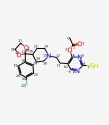 CC(=O)Oc1nc(S)ncc1CCN1CCC(C2(c3ccc(F)cc3)OCCO2)CC1